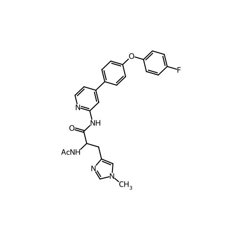 CC(=O)NC(Cc1cn(C)cn1)C(=O)Nc1cc(-c2ccc(Oc3ccc(F)cc3)cc2)ccn1